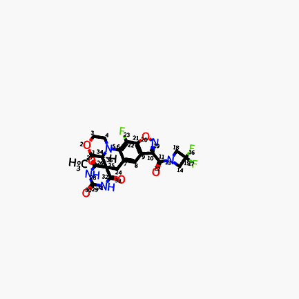 C[C@@H]1OCCN2c3c(cc4c(C(=O)N5CC(F)(F)C5)noc4c3F)CC3(C(=O)NC(=O)NC3=O)[C@@H]12